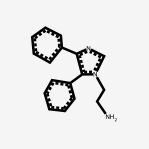 NCCn1cnc(-c2ccccc2)c1-c1ccccc1